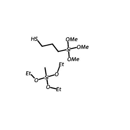 CCO[Si](C)(OCC)OCC.CO[Si](CCCS)(OC)OC